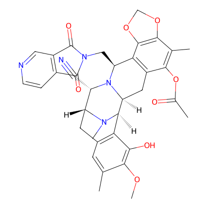 COc1c(C)cc2c(c1O)[C@@H]1[C@@H]3Cc4c(OC(C)=O)c(C)c5c(c4[C@H](CN4C(=O)c6ccncc6C4=O)N3[C@@H](C#N)[C@@H](C2)N1C)OCO5